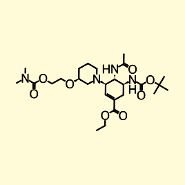 CCOC(=O)C1=C[C@@H](N2CCC[C@H](OCCOC(=O)N(C)C)C2)[C@H](NC(C)=O)[C@@H](NC(=O)OC(C)(C)C)C1